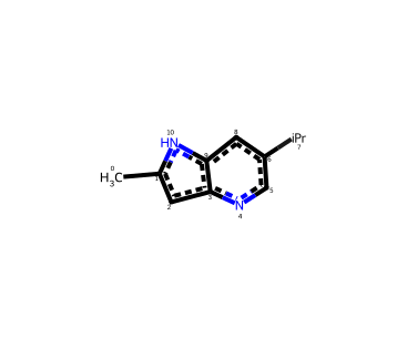 Cc1cc2ncc(C(C)C)cc2[nH]1